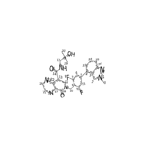 Cn1cc2c(-c3cc(F)c(Cn4cc(C(=O)NCC(C)(C)O)c5nccnc5c4=O)c(F)c3)cccc2n1